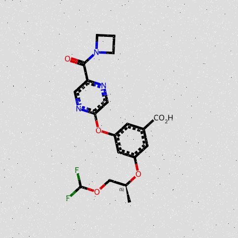 C[C@@H](COC(F)F)Oc1cc(Oc2cnc(C(=O)N3CCC3)cn2)cc(C(=O)O)c1